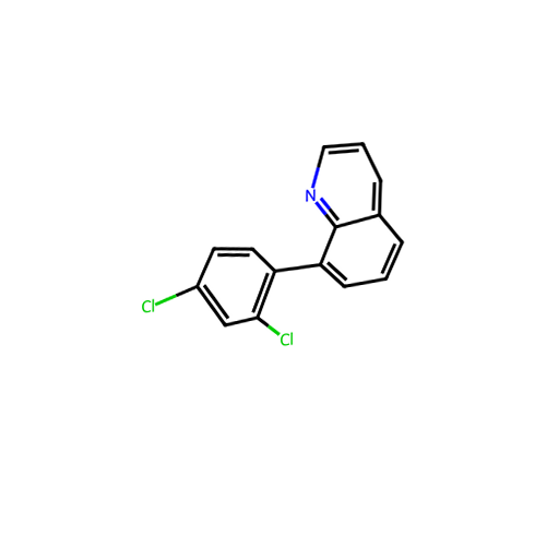 Clc1ccc(-c2cccc3cccnc23)c(Cl)c1